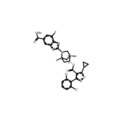 COC(=O)c1cc(F)c2nc(N3C[C@H]4C[C@@H]3C[C@H]4OC(=O)c3c(-c4c(Cl)cccc4Cl)noc3C3CC3)sc2c1